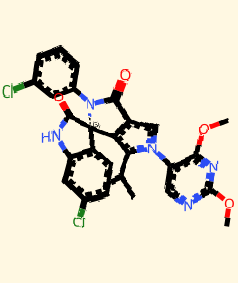 COc1ncc(-n2cc3c(c2C(C)C)[C@@]2(C(=O)Nc4cc(Cl)ccc42)N(c2cccc(Cl)c2)C3=O)c(OC)n1